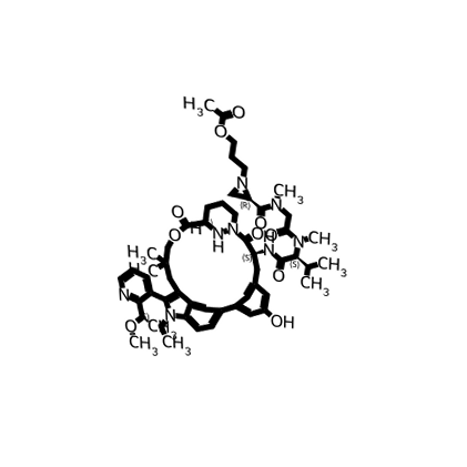 CCn1c(-c2cccnc2[C@H](C)OC)c2c3cc(ccc31)-c1cc(O)cc(c1)C[C@H](NC(=O)[C@H](C(C)C)N(C)C(=O)CN(C)C(=O)[C@H]1CN1CCCOC(C)=O)C(=O)N1CCC[C@H](N1)C(=O)OCC(C)(C)C2